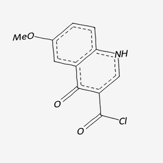 COc1ccc2[nH]cc(C(=O)Cl)c(=O)c2c1